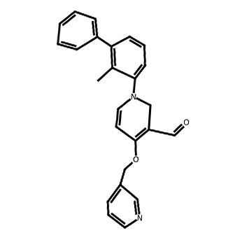 Cc1c(-c2ccccc2)cccc1N1C=CC(OCc2cccnc2)=C(C=O)C1